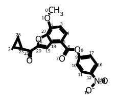 COc1ccc(C(=O)Oc2ccc([N+](=O)[O-])cc2)c2cc(C(=O)C3CC3)oc12